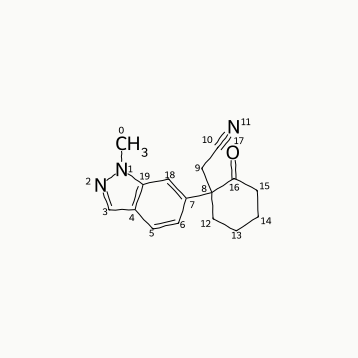 Cn1ncc2ccc(C3(CC#N)CCCCC3=O)cc21